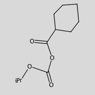 CC(C)OC(=O)OC(=O)C1CCCCC1